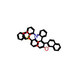 c1ccc(-c2ccccc2N(c2ccccc2-c2cccc3oc4c5ccccc5ccc4c23)c2cccc3c2sc2ccccc23)cc1